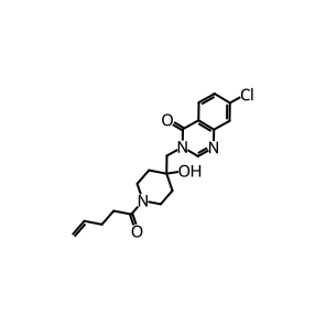 C=CCCC(=O)N1CCC(O)(Cn2cnc3cc(Cl)ccc3c2=O)CC1